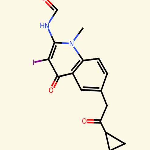 Cn1c(NC=O)c(I)c(=O)c2cc(CC(=O)C3CC3)ccc21